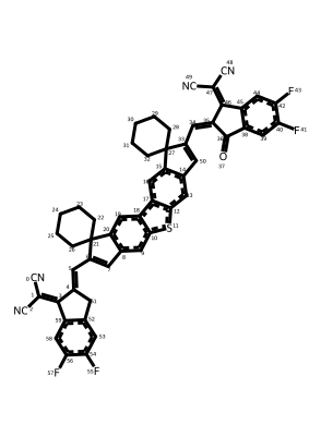 N#CC(C#N)=C1/C(=C/C2=Cc3cc4sc5cc6c(cc5c4cc3C23CCCCC3)C2(CCCCC2)C(/C=C2\C(=O)c3cc(F)c(F)cc3C2=C(C#N)C#N)=C6)Cc2cc(F)c(F)cc21